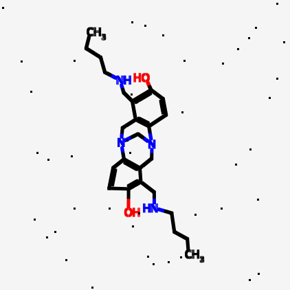 CCCCNCc1c(O)ccc2c1CN1CN2Cc2c1ccc(O)c2CNCCCC